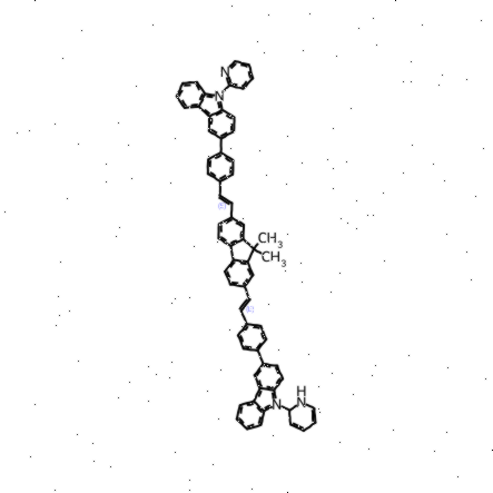 CC1(C)c2cc(/C=C/c3ccc(-c4ccc5c(c4)c4ccccc4n5-c4ccccn4)cc3)ccc2-c2ccc(/C=C/c3ccc(-c4ccc5c(c4)c4ccccc4n5C4C=CC=CN4)cc3)cc21